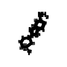 Nc1ccc2sc(N3CCC[C@@H](F)C3)nc2c1